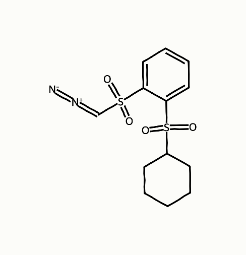 [N-]=[N+]=CS(=O)(=O)c1ccccc1S(=O)(=O)C1CCCCC1